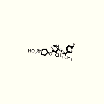 CC(=NOc1ncnc(OC2CCN(C(=O)O)CC2)c1C)c1ccc(F)cc1